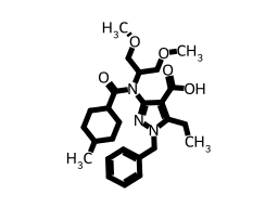 CCc1c(C(=O)O)c(N(C(=O)C2CCC(C)CC2)C(COC)COC)nn1Cc1ccccc1